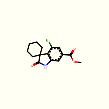 COC(=O)c1cc(Br)c2c(c1)NC(=O)C21CCCCC1